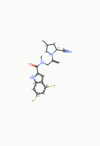 C=C(CN(C)C(=O)c1cc2c(F)cc(F)cc2[nH]1)N1CC(C)CC1C#N